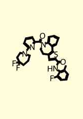 Cc1cccc(F)c1NC(=O)c1cc2c(s1)-c1ccccc1N(C(=O)c1cccc(N3CCCC(F)(F)CC3)n1)CC2